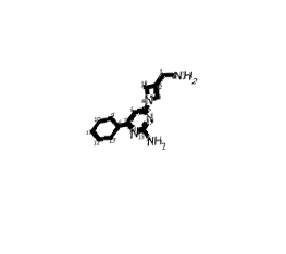 NCC1CN(c2cc(C3CCCCC3)nc(N)n2)C1